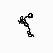 O=c1[nH]c2ccc(C#CCc3ccc4scnc4c3)cc2cc1Cc1ccccc1